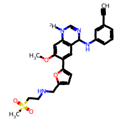 [2H]N1C=NC(Nc2cccc(C#C)c2)c2cc(-c3ccc(CNCCS(C)(=O)=O)o3)c(OC)cc21